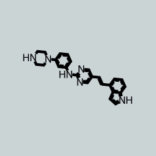 C(=Cc1cccc2[nH]ccc12)c1cnc(Nc2cccc(N3CCNCC3)c2)nc1